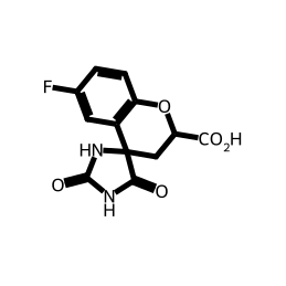 O=C1NC(=O)C2(CC(C(=O)O)Oc3ccc(F)cc32)N1